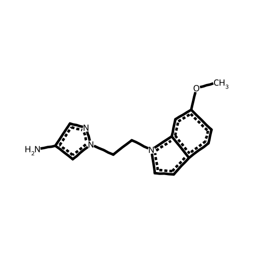 COc1ccc2ccn(CCn3cc(N)cn3)c2c1